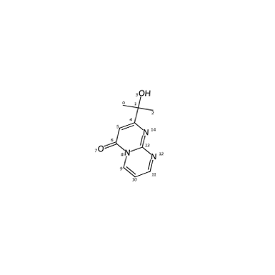 CC(C)(O)c1cc(=O)n2cccnc2n1